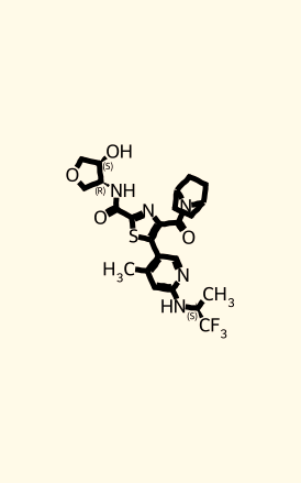 Cc1cc(N[C@@H](C)C(F)(F)F)ncc1-c1sc(C(=O)N[C@@H]2COC[C@H]2O)nc1C(=O)N1C2CCC1CC2